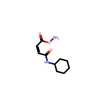 NOC(=O)/C=C\C(=O)NC1CCCCC1